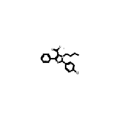 CCCCN1C(C(N)=O)=C(c2ccccc2)SC1c1ccc(Cl)cc1